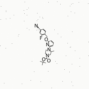 CC1CN(C(=O)OC(C)(C)C)CCN1c1cccc(OCc2ccc(C#N)cc2F)n1